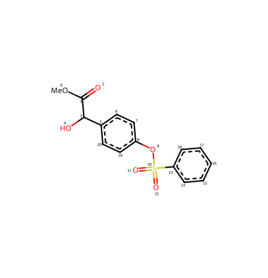 COC(=O)C(O)c1ccc(OS(=O)(=O)c2ccccc2)cc1